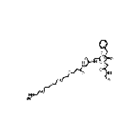 CC(C)CNC(=O)CNC(=O)[C@H](Cc1ccccc1)NC(=O)CNC(=O)CNC(=O)CCOCCOCCOCCOCCNC(C)C